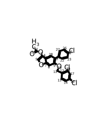 CC(=O)Oc1coc2cc(OCc3ccc(Cl)cc3Cl)c(-c3ccc(Cl)cc3)cc12